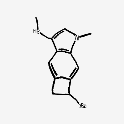 CBc1cn(C)c2cc3c(cc12)CC3CCCC